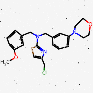 COc1cccc(CN(Cc2cccc(N3CCOCC3)c2)c2nc(CCl)cs2)c1